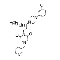 Cl.Cl.Cl.O=C1CN(Cc2cccnc2)CC(=O)N1CCCN1CCN(c2cccc(Cl)c2)CC1